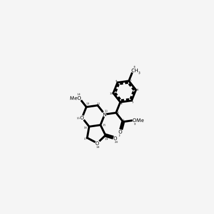 COC(=O)C(c1ccc(C)cc1)N1CC(OC)OC2COC(=O)C21